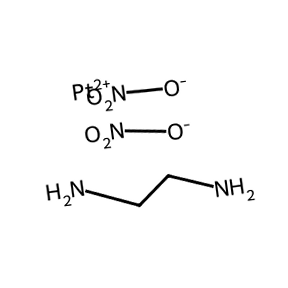 NCCN.O=[N+]([O-])[O-].O=[N+]([O-])[O-].[Pt+2]